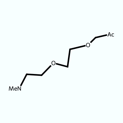 CNCCOCCOCC(C)=O